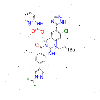 CC(C)(C)CCNC(=N)N(C(=O)c1ccc(-c2cnn(C(F)F)c2)cc1)[C@H](COC(=O)Nc1ccccn1)c1ccc(Cl)c(-c2ncn[nH]2)c1